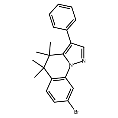 CC1(C)c2ccc(Br)cc2-n2ncc(-c3ccccc3)c2C1(C)C